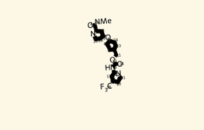 CNC(=O)c1cc(Oc2ccc(COC(=O)Nc3cc(C(F)(F)F)ccn3)cc2)ccn1